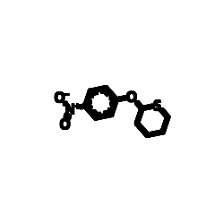 O=[N+]([O-])c1ccc(OC2CCCCS2)cc1